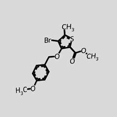 COC(=O)c1sc(C)c(Br)c1OCc1ccc(OC)cc1